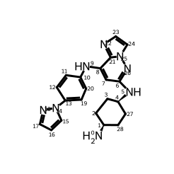 N[C@H]1CC[C@@H](Nc2cc(Nc3ccc(-n4cccn4)cc3)c3nccn3n2)CC1